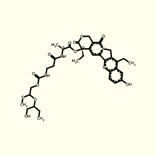 CCc1c2c(nc3ccc(O)cc13)-c1cc3c(c(=O)n1C2)COC(=O)[C@@]3(CC)OC(=O)[C@H](C)NC(=O)CCNC(=O)OCC(OC)OC(CC)CO